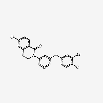 O=C1c2ccc(Cl)cc2CCN1c1cncc(Cc2ccc(Cl)c(Cl)c2)c1